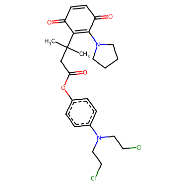 CC(C)(CC(=O)Oc1ccc(N(CCCl)CCCl)cc1)C1=C(N2CCCC2)C(=O)C=CC1=O